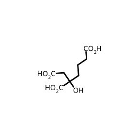 O=C(O)CCCC(O)(CC(=O)O)C(=O)O